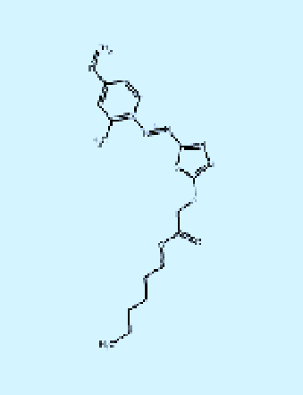 C=Nc1ccc(/N=N/c2nnc(SCC(=O)OCCCCCC)s2)c(C)c1